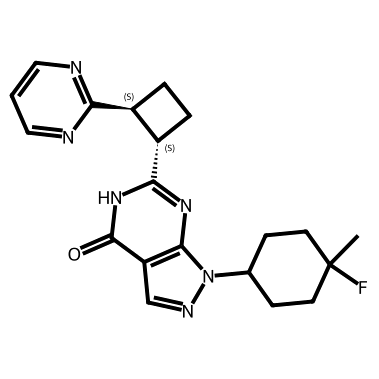 CC1(F)CCC(n2ncc3c(=O)[nH]c([C@H]4CC[C@@H]4c4ncccn4)nc32)CC1